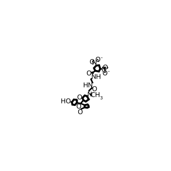 CN(CC(=O)NCCNC(=O)c1cc([N+](=O)[O-])cc([N+](=O)[O-])c1)c1ccc2c(c1)Oc1cc(O)ccc1C21OC(=O)c2ccccc21